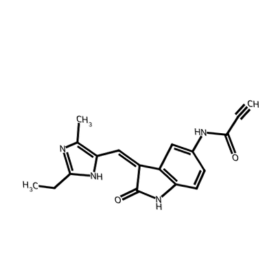 C#CC(=O)Nc1ccc2c(c1)/C(=C/c1[nH]c(CC)nc1C)C(=O)N2